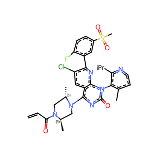 C=CC(=O)N1C[C@H](C)N(c2nc(=O)n(-c3c(C)ccnc3C(C)C)c3nc(-c4cc(S(C)(=O)=O)ccc4F)c(Cl)cc23)C[C@H]1C